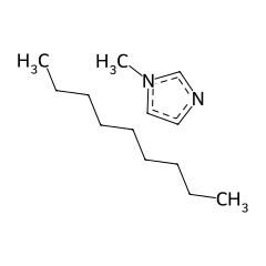 CCCCCCCCC.Cn1ccnc1